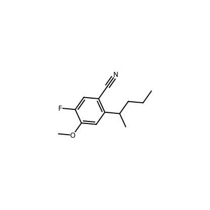 CCCC(C)c1cc(OC)c(F)cc1C#N